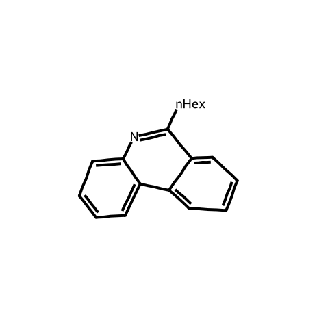 CCCCCCc1nc2ccccc2c2ccccc12